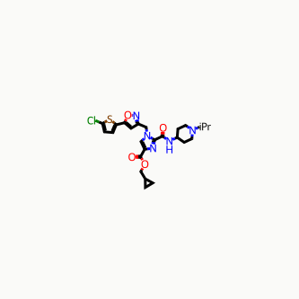 CC(C)N1CCC(NC(=O)c2nc(C(=O)OCC3CC3)cn2Cc2cc(-c3ccc(Cl)s3)on2)CC1